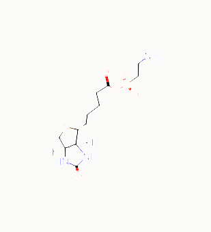 NCCS(=O)(=O)OC(=O)CCCC[C@@H]1SC[C@@H]2NC(=O)N[C@@H]21